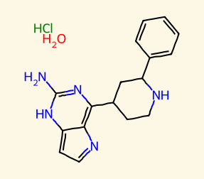 Cl.Nc1nc(C2CCNC(c3ccccc3)C2)c2nccc-2[nH]1.O